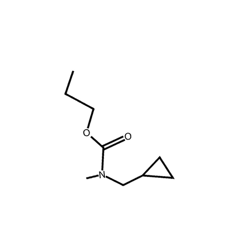 CCCOC(=O)N(C)CC1CC1